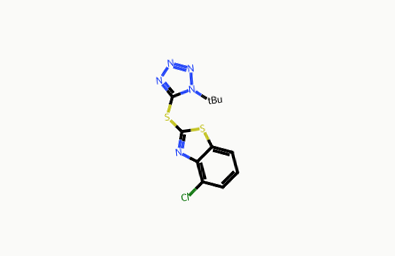 CC(C)(C)n1nnnc1Sc1nc2c(Cl)cccc2s1